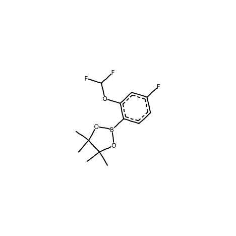 CC1(C)OB(c2ccc(F)cc2OC(F)F)OC1(C)C